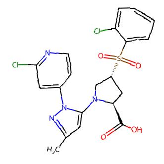 Cc1cc(N2C[C@H](S(=O)(=O)c3ccccc3Cl)C[C@H]2C(=O)O)n(-c2ccnc(Cl)c2)n1